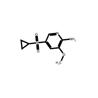 COc1cc(S(=O)(=O)C2CC2)cnc1N